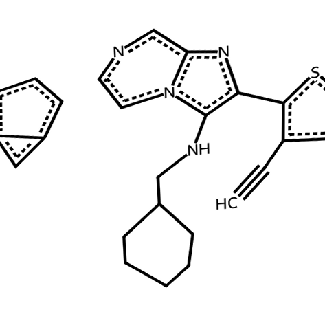 C#Cc1ccsc1-c1nc2cnccn2c1NCC1CCCCC1.c1cc2cc-2c1